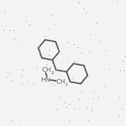 C1CCC(CC2CCCCC2)CC1.CNC